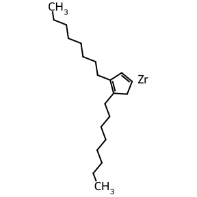 CCCCCCCCC1=C(CCCCCCCC)CC=C1.[Zr]